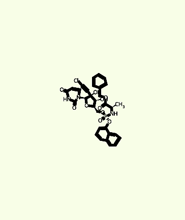 C[C@H](NP(=O)(OC[C@H]1O[C@@H](n2ccc(=O)[nH]c2=O)[C@@](O)(C#CCl)[C@@H]1O)Oc1cccc2ccccc12)C(=O)OCc1ccccc1